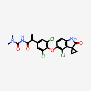 C=C(C(=O)NC(=O)N(C)C)c1cc(Cl)c(Oc2ccc3c(c2Cl)C2(CC2)C(=O)N3)c(Cl)c1